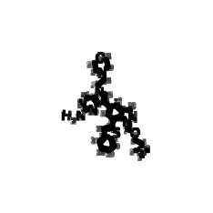 C[Si](C)(C)CCOCn1ncc2cc(-c3cn(CCN4CCOCC4)c4cnc(N)nc34)cc(-c3cc4ccccc4s3)c21